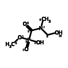 COP(=O)(O)C(=O)N(C)CO